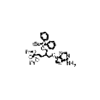 CC(C)OP(=O)(C=CC(COn1cnc2c(N)ncnc21)CO[Si](c1ccccc1)(c1ccccc1)C(C)(C)C)OC(C)C